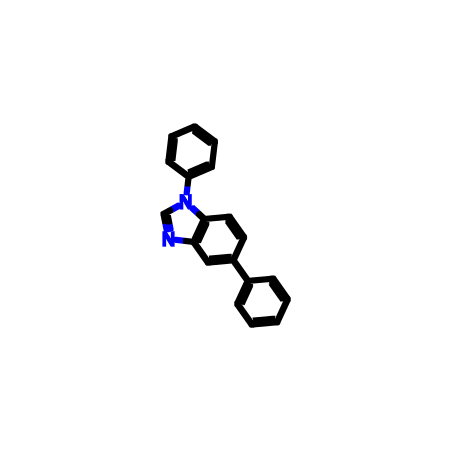 c1ccc(-c2ccc3c(c2)ncn3-c2ccccc2)cc1